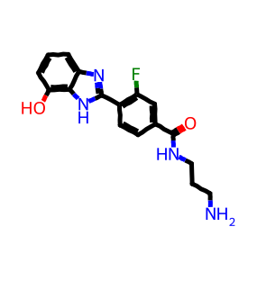 NCCCNC(=O)c1ccc(-c2nc3cccc(O)c3[nH]2)c(F)c1